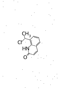 CC(Cl)c1cccc2ccc(=O)[nH]c12